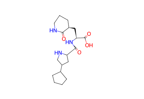 O=C(N[C@@H](C[C@@H]1CCCNC1=O)C(=O)O)C1CC(C2CCCC2)CN1